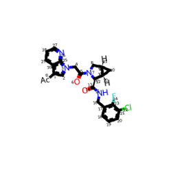 CC(=O)c1cn(CC(=O)N2C[C@H]3C[C@H]3[C@H]2C(=O)NCc2cccc(Cl)c2F)c2ncccc12